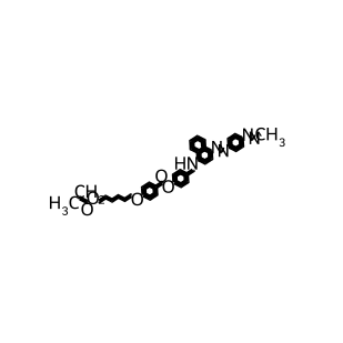 C=C(C)C(=O)OCCCCCCOc1ccc(C(=O)Oc2ccc(CNc3ccc(/N=N/c4ccc(/N=N/C)cc4)c4ccccc34)cc2)cc1